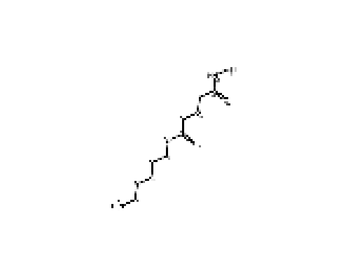 NCCCCCOC(=O)COCC(=O)NS